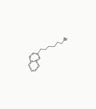 BrCCCCCCc1ccc2ccccc2c1